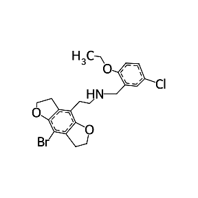 CCOc1ccc(Cl)cc1CNCCc1c2c(c(Br)c3c1OCC3)OCC2